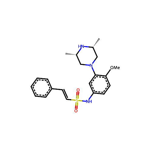 COc1ccc(NS(=O)(=O)C=Cc2ccccc2)cc1N1C[C@@H](C)N[C@@H](C)C1